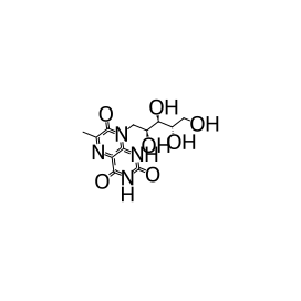 Cc1nc2c(=O)[nH]c(=O)[nH]c2n(C[C@H](O)[C@@H](O)[C@@H](O)CO)c1=O